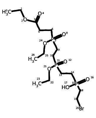 CCOC(=O)CCP(=O)(CCP(=O)(CCP(=O)(O)CCBr)OCC)OCC